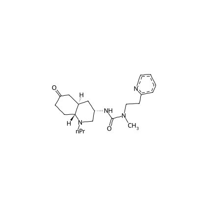 CCCN1C[C@@H](NC(=O)N(C)CCc2ccccn2)C[C@@H]2CC(=O)CC[C@H]21